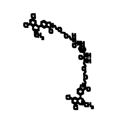 CN1Cc2c(Cl)cc(Cl)cc2C(c2ccc3c(c2)C(=O)N(CCOCCOCCNC(=O)N[C@]24CC[C@](NC(=O)NCCOCCOCCN5Cc6ccc(C7CN(C)Cc8c(Cl)cc(Cl)cc87)cc6C5=O)(CC2)CC4)C3)C1